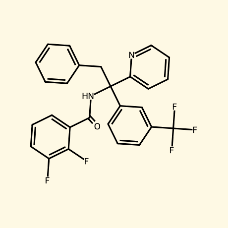 O=C(NC(Cc1ccccc1)(c1cccc(C(F)(F)F)c1)c1ccccn1)c1cccc(F)c1F